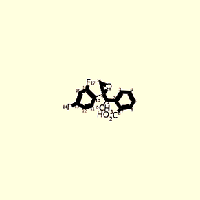 C[C@@H](c1ccccc1C(=O)O)[C@@]1(c2ccc(F)cc2F)CO1